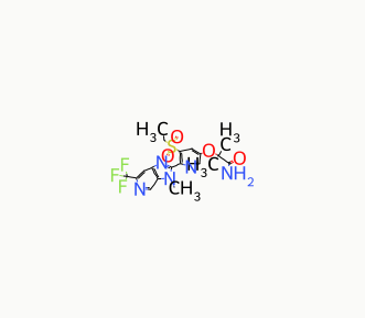 CCS(=O)(=O)c1cc(OC(C)(C)C(N)=O)cnc1-c1nc2cc(C(F)(F)F)ncc2n1C